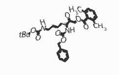 Cc1cccc(C)c1C(=O)OCC(=O)[C@H](CCCCNC(=O)OC(C)(C)C)NC(=O)OCc1ccccc1